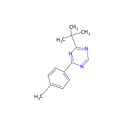 Cc1ccc(-c2ncnc(C(C)(C)C)n2)cc1